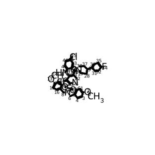 COc1ccc(CN(Cc2ccc(OC)cc2)S(=O)(=O)c2ncc(C(=O)N3CCC(c4ccc(F)cc4)CC3)c(Nc3ccc(Cl)cc3)c2Cl)cc1